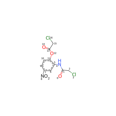 O=C(CCl)Nc1cc([N+](=O)[O-])ccc1OC(=O)CCl